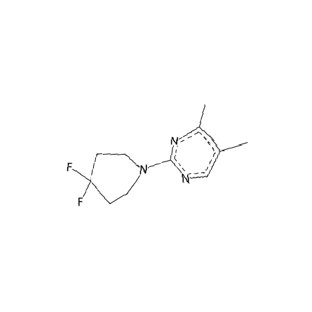 Cc1cnc(N2CCC(F)(F)CC2)nc1C